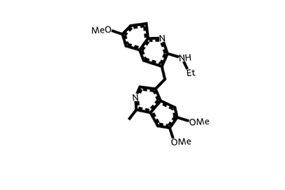 CCNc1nc2ccc(OC)cc2cc1Cc1cnc(C)c2cc(OC)c(OC)cc12